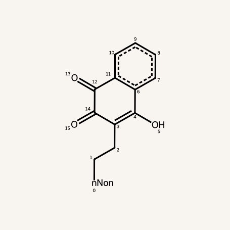 CCCCCCCCCCCC1=C(O)c2ccccc2C(=O)C1=O